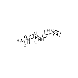 CC(C)C(=O)Nc1ccc(Cl)c(-n2nc(-c3ccc(C#CC(C)(C)C)c(F)c3)[nH]c2=O)c1